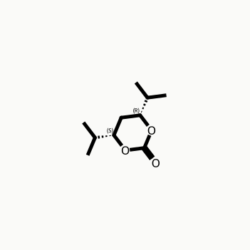 CC(C)[C@@H]1C[C@H](C(C)C)OC(=O)O1